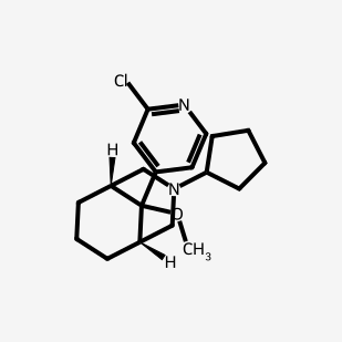 COC1(c2ccnc(Cl)c2)[C@@H]2CCC[C@H]1CN(C1CCCC1)C2